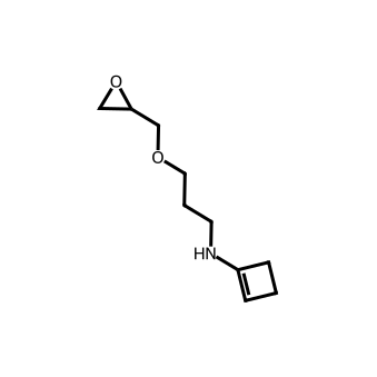 C1=C(NCCCOCC2CO2)CC1